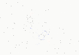 CC[C@@H]1CN(c2nc(NN)nc3c2nc(C)n3C[C@@H]2CCCO2)[C@@H](C)CN1C(c1ccc(OC(F)F)cc1)C(C)C